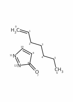 C=CCCCCC.O=C1C=CN=N1